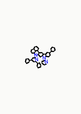 c1ccc(-c2cc(-c3ccccc3)nc(N3c4cc5c(cc4-c4cccc6cccc3c46)c3cc(-c4ccccc4)ccc3n5-c3ccccn3)c2)cc1